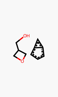 OCC1COC1.c1cc2cc-2c1